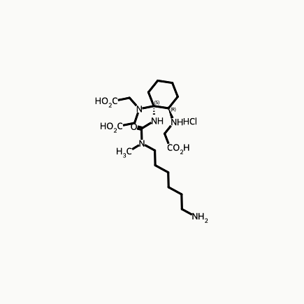 CN(CCCCCCN)C(=O)N[C@]1(N(CC(=O)O)CC(=O)O)CCCC[C@H]1NCC(=O)O.Cl